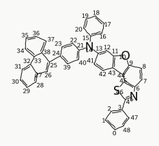 c1ccc(-c2nc3ccc4oc5cc(N(c6ccccc6)c6ccc(-c7cc8ccccc8c8ccccc78)cc6)ccc5c4c3s2)cc1